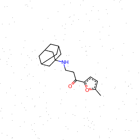 Cc1ccc(C(=O)CCNC23CC4CC(CC(C4)C2)C3)o1